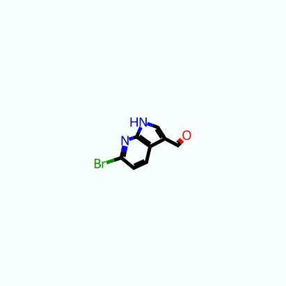 O=Cc1c[nH]c2nc(Br)ccc12